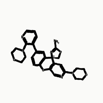 NC1=N[C@@]2(CO1)c1cc(-c3cccnc3N3CCOCC3)ccc1Oc1cnc(N3CCOCC3)cc12